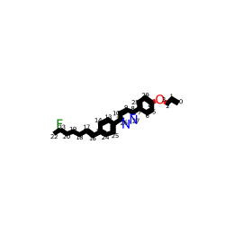 C=CCOc1ccc(-c2ccc(-c3ccc(C=CCCCC(C)F)cc3)nn2)cc1